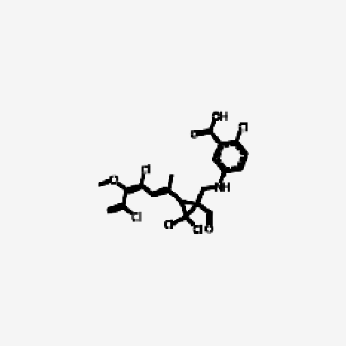 C=C(Cl)/C(OC)=C(Cl)\C=C(/C)C1C(Cl)(Cl)C1(C=O)CNc1ccc(Cl)c(C(=O)O)c1